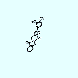 CC(C)c1nc2c(c(=O)n1Cc1cc(-c3ccc(C#N)c(O)c3)on1)CCCC2